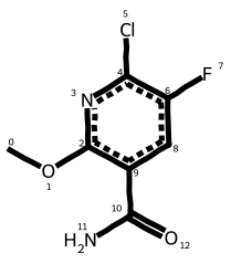 COc1nc(Cl)c(F)cc1C(N)=O